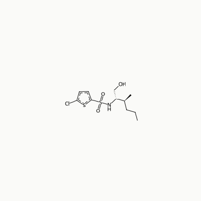 CCC[C@H](C)[C@@H](CO)NS(=O)(=O)c1ccc(Cl)s1